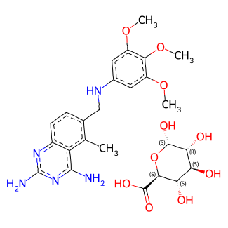 COc1cc(NCc2ccc3nc(N)nc(N)c3c2C)cc(OC)c1OC.O=C(O)[C@H]1O[C@H](O)[C@H](O)[C@@H](O)[C@@H]1O